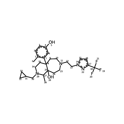 Cc1ccc(O)cc1C12CCN(CCn3ccc(C(F)(F)F)n3)CCC1(O)C(C)N(CC1CC1)CC2